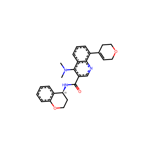 CN(C)c1c(C(=O)N[C@H]2CCOc3ccccc32)cnc2c(C3=CCOCC3)cccc12